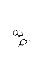 BrCc1ccc(Br)cc1Oc1cnc2ccccc2c1